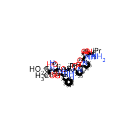 CC(C)[C@H](N)C(=O)N[C@@H](CO)C(=O)N1CCC[C@H]1C(=O)N1CCC[C@H]1C(=O)N[C@H](C(=O)N[C@@H](Cc1ccccc1)C(=O)N[C@@H](CO)C(=O)N[C@H](C(=O)O)[C@@H](C)O)C(C)C